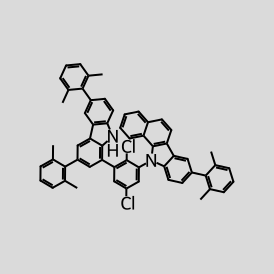 Cc1cccc(C)c1-c1ccc2[nH]c3c(-c4cc(Cl)cc(-n5c6ccc(-c7c(C)cccc7C)cc6c6ccc7ccccc7c65)c4Cl)cc(-c4c(C)cccc4C)cc3c2c1